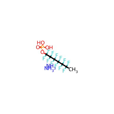 CC(F)(F)C(F)(F)C(F)(F)C(F)(F)C(F)(F)C(F)(F)OP(=O)(O)O.N.N